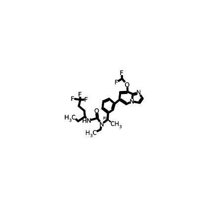 CCC(CCC(F)(F)F)NC(=O)N(CC)[C@H](C)c1cccc(-c2cc(OC(F)F)c3nccn3c2)c1